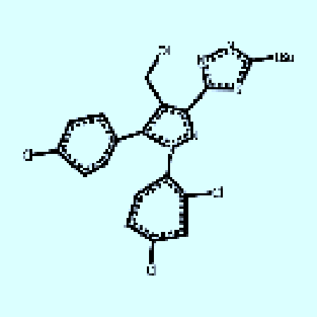 CC(C)(C)c1nnc(-c2nn(-c3ccc(Cl)cc3Cl)c(-c3ccc(Cl)cc3)c2CO)s1